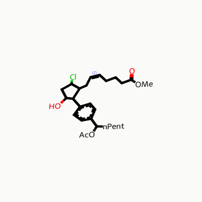 CCCCCC(OC(C)=O)c1ccc(C2C(O)CC(Cl)C2C/C=C\CCCC(=O)OC)cc1